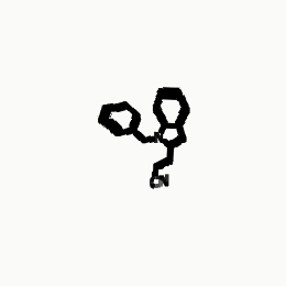 N#CC=Cc1cc2ccccc2n1Cc1ccccc1